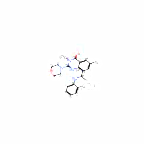 Cc1cc(C(C)Nc2ccccc2C(=O)O)c2nc(N3CCOCC3)n(C(C)C)c(=O)c2c1